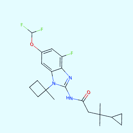 CC(C)(CC(=O)Nc1nc2c(F)cc(OC(F)F)cc2n1C1(C)CCC1)C1CC1